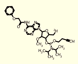 [2H]CC1OC(n2cnc3c(NC(=O)COc4ccccc4)ncnc32)C(OC)C1OP(OCCC#C)N(C(C)C)C(C)C